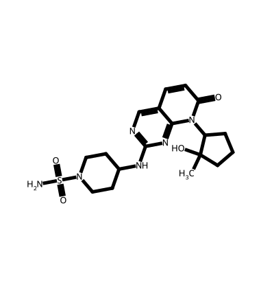 CC1(O)CCCC1n1c(=O)ccc2cnc(NC3CCN(S(N)(=O)=O)CC3)nc21